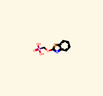 O=P(O)(O)COc1nc2ccccc2s1